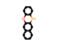 c1ccc2c(c1)Oc1cc3ccccc3cc1P2